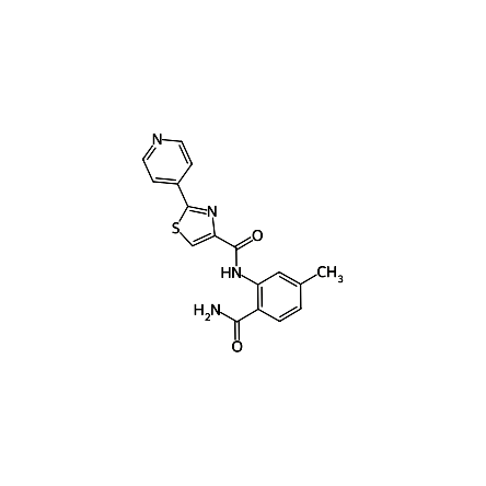 Cc1ccc(C(N)=O)c(NC(=O)c2csc(-c3ccncc3)n2)c1